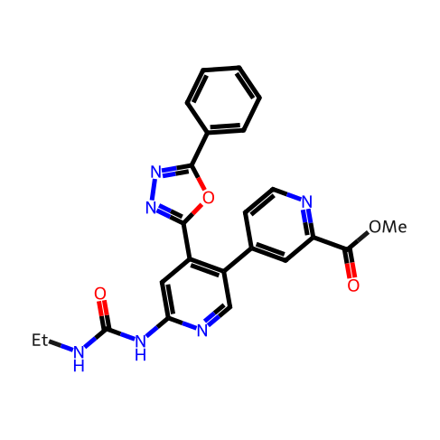 CCNC(=O)Nc1cc(-c2nnc(-c3ccccc3)o2)c(-c2ccnc(C(=O)OC)c2)cn1